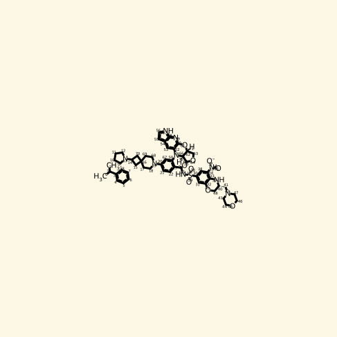 CC(C)c1ccccc1[C@@H]1CCCN1C1CC2(CCN(c3ccc(C(=O)NS(=O)(=O)c4cc5c(c([N+](=O)[O-])c4)N[C@H](CN4CCOCC4)CO5)c(N4c5cc6cc[nH]c6nc5O[C@@H]5COC[C@H]54)c3)CC2)C1